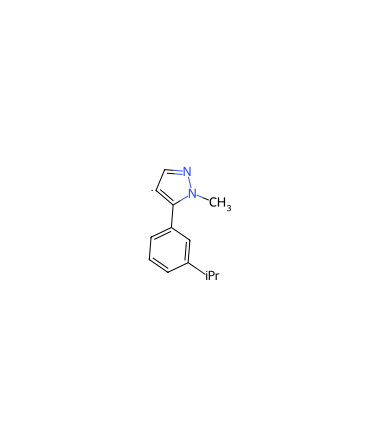 CC(C)c1cccc(-c2[c]cnn2C)c1